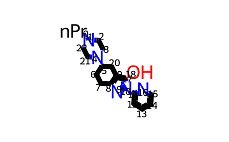 CCCN1CCN(C2CCc3nn(-c4ccccn4)c(O)c3C2)CC1